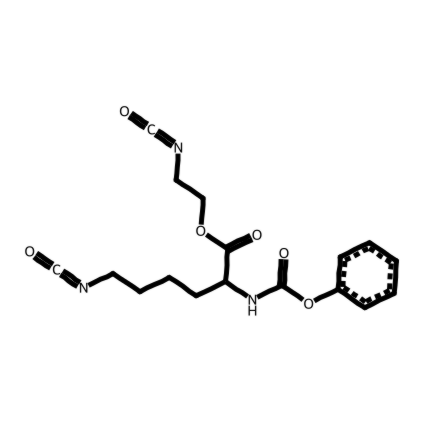 O=C=NCCCCC(NC(=O)Oc1ccccc1)C(=O)OCCN=C=O